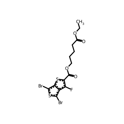 CCOC(=O)CCCCOC(=O)c1sc2c(Br)sc(Br)c2c1F